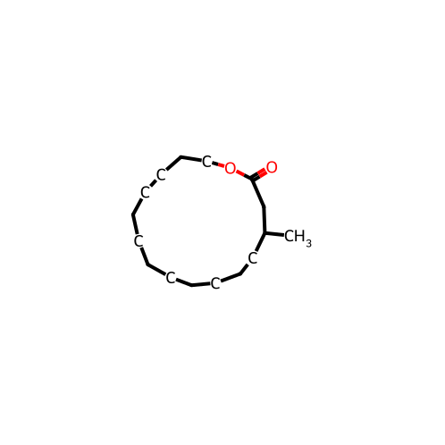 CC1CCCCCCCCCCCCOC(=O)C1